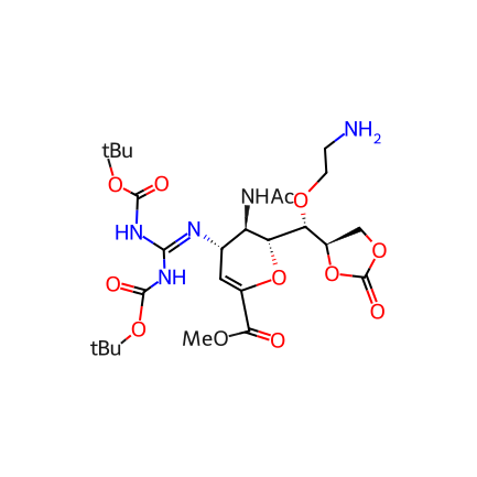 COC(=O)C1=C[C@H](N=C(NC(=O)OC(C)(C)C)NC(=O)OC(C)(C)C)[C@@H](NC(C)=O)[C@H]([C@H](OCCN)[C@H]2COC(=O)O2)O1